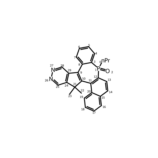 CCCP1(=O)c2ccccc2C2=C(c3c1ccc1ccccc31)C(C)(C)c1cnncc12